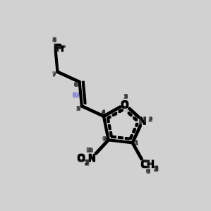 Cc1noc(/C=C/CC(C)C)c1[N+](=O)[O-]